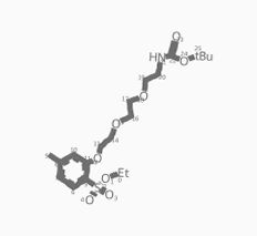 CCOS(=O)(=O)c1ccc(C)cc1OCCOCCOCCNC(=O)OC(C)(C)C